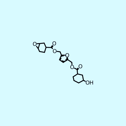 O=C(OCc1ccc(COC(=O)C2CCC3OC3C2)o1)C1CCCC(O)C1